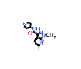 Cn1nc(C(=O)Nc2ccncc2)c2ccc(F)nc21